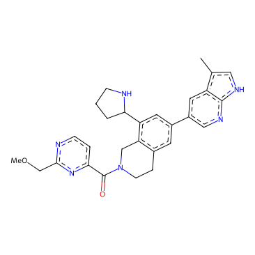 COCc1nccc(C(=O)N2CCc3cc(-c4cnc5[nH]cc(C)c5c4)cc(C4CCCN4)c3C2)n1